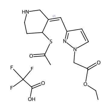 CCOC(=O)Cn1ccc(/C=C2/CNCCC2SC(C)=O)n1.O=C(O)C(F)(F)F